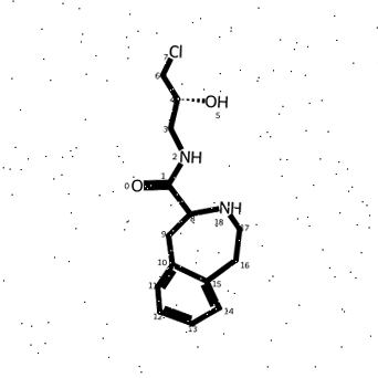 O=C(NC[C@@H](O)CCl)C1Cc2ccccc2CCN1